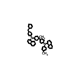 Cc1ccc(N(c2ccc(C3(C)C=CC(N(C4=CCC(Cc5ccccc5)C=C4)c4cccc5ccccc45)=CC3)cc2)c2cccc3ccccc23)cc1